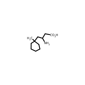 CC1(CC(N)CC(=O)O)CCCCC1